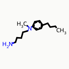 CCCCc1ccc(N(C)CCCCCN)cc1